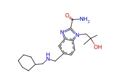 CC(C)(O)Cn1c(C(N)=O)nc2cc(CNCC3CCCCC3)ccc21